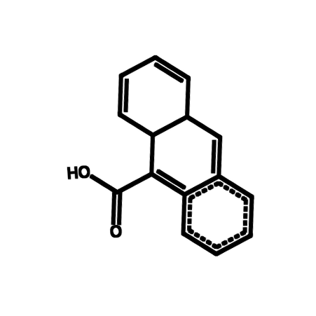 O=C(O)C1=c2ccccc2=CC2C=CC=CC12